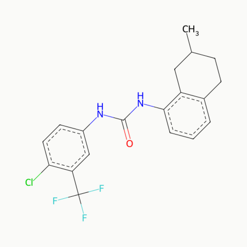 CC1CCc2cccc(NC(=O)Nc3ccc(Cl)c(C(F)(F)F)c3)c2C1